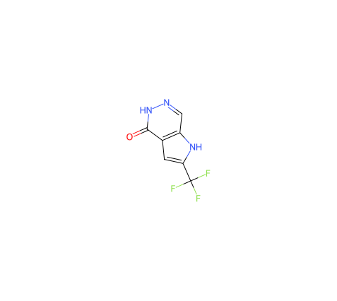 O=c1[nH]ncc2[nH]c(C(F)(F)F)cc12